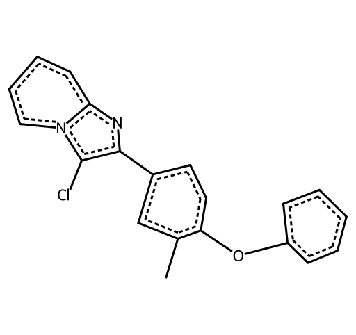 Cc1cc(-c2nc3ccccn3c2Cl)ccc1Oc1ccccc1